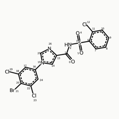 O=C(NS(=O)(=O)c1ccccc1Cl)c1cn(-c2cc(Cl)c(Br)c(Cl)c2)cn1